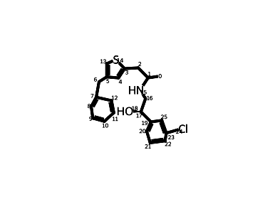 CC(Cc1cc(Cc2ccccc2)cs1)NC[C@H](O)c1cccc(Cl)c1